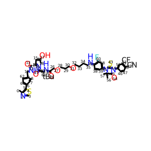 Cc1ncsc1-c1ccc(CNC(=O)[C@@H]2C[C@@H](O)CN2C(=O)[C@@H](NC(=O)COCCCOCCCCNc2ccc(N3C(=S)N(c4ccc(C#N)c(C(F)(F)F)c4)C(=O)C3(C)C)cc2F)C(C)(C)C)cc1